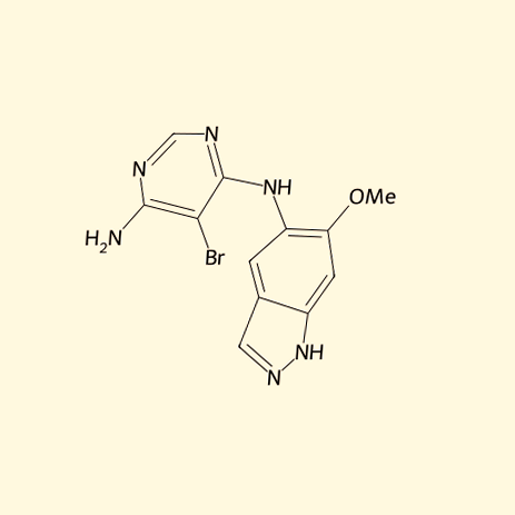 COc1cc2[nH]ncc2cc1Nc1ncnc(N)c1Br